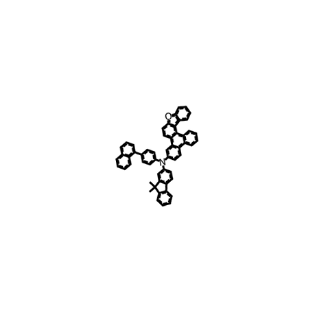 CC1(C)c2ccccc2-c2ccc(N(c3ccc(-c4cccc5ccccc45)cc3)c3ccc4c5ccccc5c5c(ccc6oc7ccccc7c65)c4c3)cc21